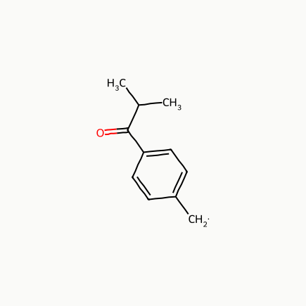 [CH2]c1ccc(C(=O)C(C)C)cc1